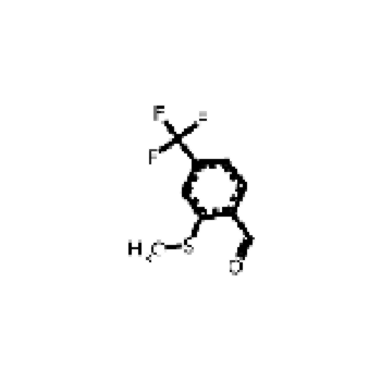 CSc1cc(C(F)(F)F)ccc1C=O